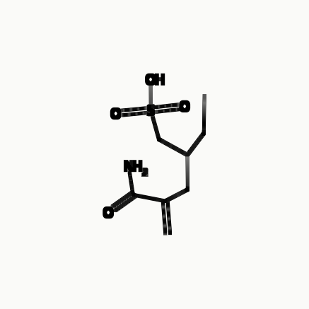 C=C(CC(CC)CS(=O)(=O)O)C(N)=O